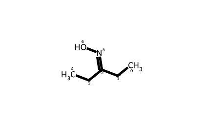 C[CH]C(CC)=NO